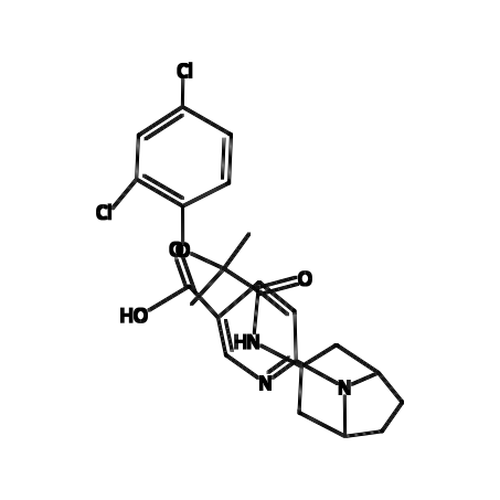 CC(C)(Oc1ccc(Cl)cc1Cl)C(=O)NC1CC2CCC(C1)N2c1ccc(C(=O)O)cn1